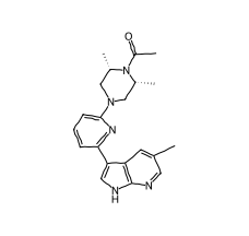 CC(=O)N1[C@H](C)CN(c2cccc(-c3c[nH]c4ncc(C)cc34)n2)C[C@@H]1C